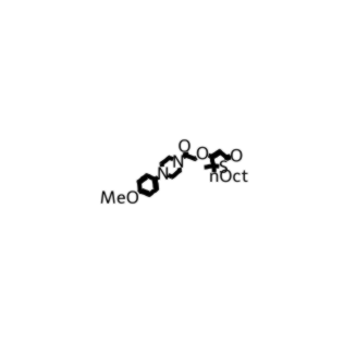 CCCCCCCCC1(C)SC(=O)C=C1OCC(=O)N1CCN(c2ccc(OC)cc2)CC1